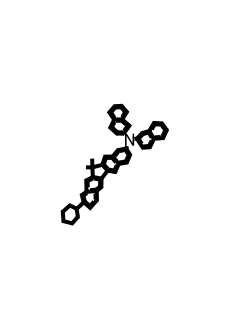 CC1(C)c2cc3cc(C4CCCCC4)ccc3cc2-c2cc3ccc(N(c4ccc5ccccc5c4)c4ccc5ccccc5c4)cc3cc21